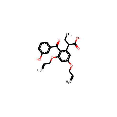 C=CCOc1cc(OCC=C)c(C(=O)c2cccc(O)c2)c(C(CC)C(=O)O)c1